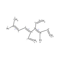 C=CC(=C\C=C(/C)C(C)=O)/C(C=C)=C(/C=C)CC